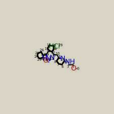 COCCNc1cccc(C[C@H](N)c2ccccc2-c2noc3ccccc23)n1.Cl